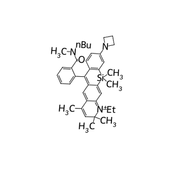 CCCCN(C)C(=O)c1ccccc1C1=c2cc3c(cc2[Si](C)(C)c2cc(N4CCC4)ccc21)=[N+](CC)C(C)(C)C=C3C